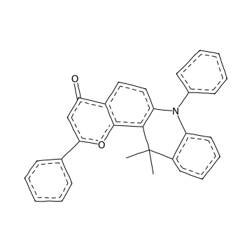 CC1(C)c2ccccc2N(c2ccccc2)c2ccc3c(=O)cc(-c4ccccc4)oc3c21